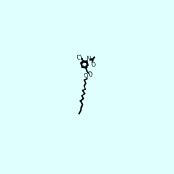 CCCCCCCCCCCCCCOC(=O)c1ccc(Cl)c([N]C(C)=O)c1